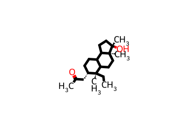 CC[C@]1(C)C2CC[C@@]3(C)C(CC[C@]3(C)O)C2CC[C@H]1CC(C)=O